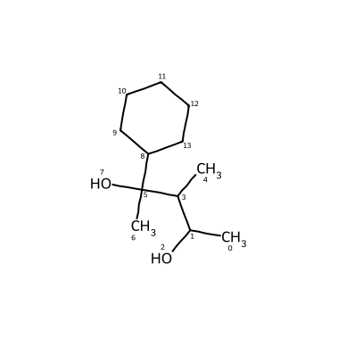 CC(O)C(C)C(C)(O)C1CCCCC1